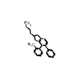 CCCCC1=Cc2c(ccc(-c3ccccc3)c2-c2ccccc2C)[CH]1